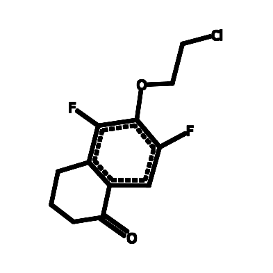 O=C1CCCc2c1cc(F)c(OCCCl)c2F